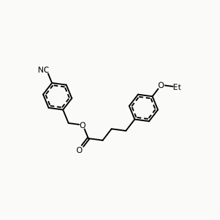 CCOc1ccc(CCCC(=O)OCc2ccc(C#N)cc2)cc1